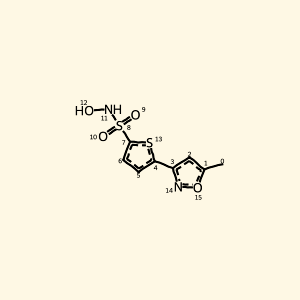 Cc1cc(-c2ccc(S(=O)(=O)NO)s2)no1